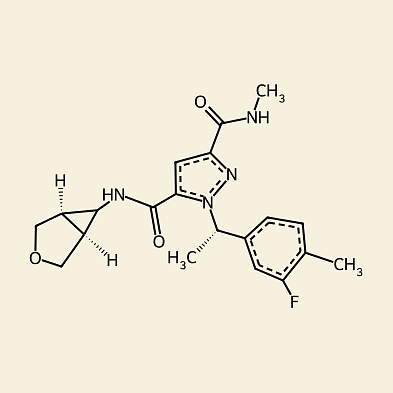 CNC(=O)c1cc(C(=O)NC2[C@H]3COC[C@@H]23)n([C@@H](C)c2ccc(C)c(F)c2)n1